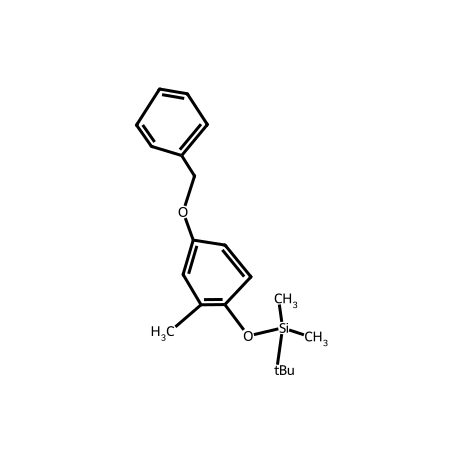 Cc1cc(OCc2ccccc2)ccc1O[Si](C)(C)C(C)(C)C